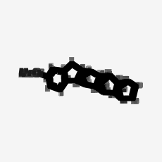 COc1ccc2c(c1)CC1C3CC(C21)C1C2CC(C4C5C=CC(C5)C24)C31